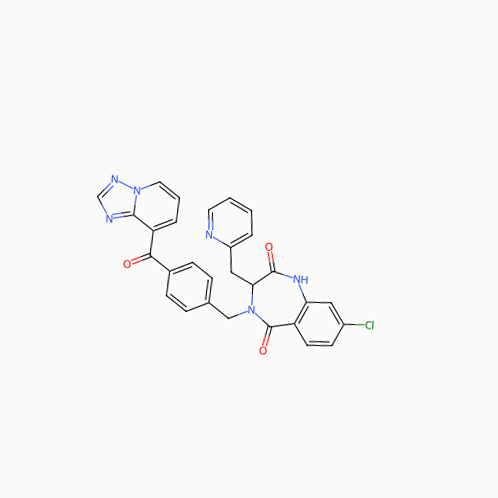 O=C(c1ccc(CN2C(=O)c3ccc(Cl)cc3NC(=O)C2Cc2ccccn2)cc1)c1cccn2ncnc12